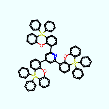 c1ccc(S2(c3ccccc3)c3ccccc3Oc3c(-c4cc(-c5cccc6c5Oc5ccccc5S6(c5ccccc5)c5ccccc5)nc(-c5cccc6c5Oc5ccccc5S6(c5ccccc5)c5ccccc5)c4)cccc32)cc1